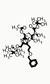 CC(=O)O[C@H](C[C@H](C(C)C)N(C)C(=O)OC(C)(C)C)c1nc(CO[Si](C)(C)C(C)(C)C)c(CCOCc2ccccc2)s1